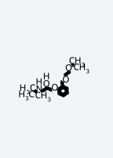 CC(C)OCCOCc1ccccc1OCC(O)CNC(C)(C)C